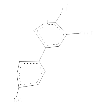 CCOC(=O)c1cc(-c2ccc([N+](=O)[O-])cc2)cnc1C